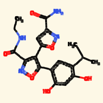 CCNC(=O)c1noc(-c2cc(C(C)C)c(O)cc2O)c1-c1cc(C(N)=O)no1